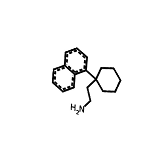 NCCC1(c2cccc3ccccc23)CCCCC1